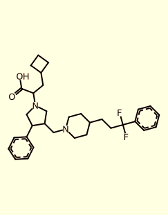 O=C(O)C(CC1CCC1)N1CC(CN2CCC(CCC(F)(F)c3ccccc3)CC2)C(c2ccccc2)C1